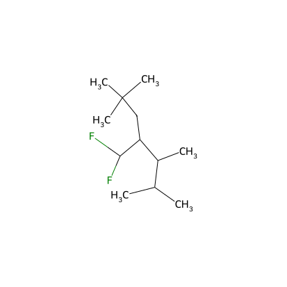 CC(C)C(C)C(CC(C)(C)C)C(F)F